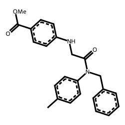 COC(=O)c1ccc(NCC(=O)N(Cc2ccccc2)c2ccc(C)cc2)cc1